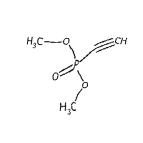 C#CP(=O)(OC)OC